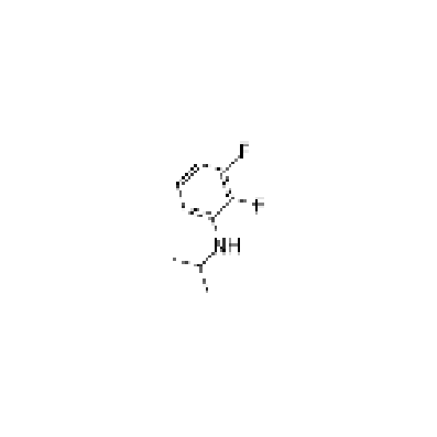 CC(C)Nc1cccc(F)c1F